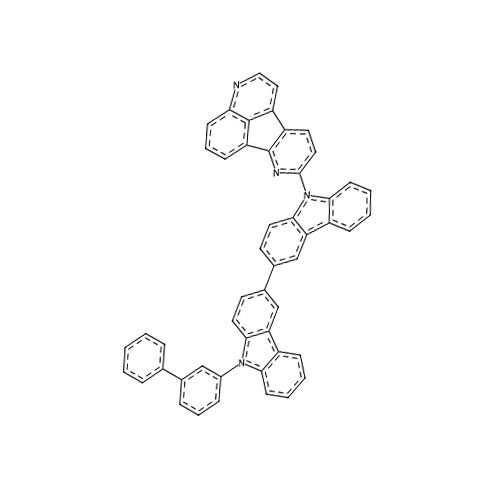 c1ccc(-c2cccc(-n3c4ccccc4c4cc(-c5ccc6c(c5)c5ccccc5n6-c5ccc6c(n5)-c5cccc7nccc-6c57)ccc43)c2)cc1